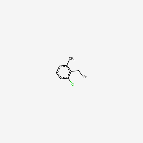 CC(C)Cc1c(Cl)cccc1C(F)(F)F